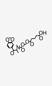 CC(C(=O)c1ccc2c(c1)OCO2)N(C)C(=O)OCOC(=O)CCCC(=O)O